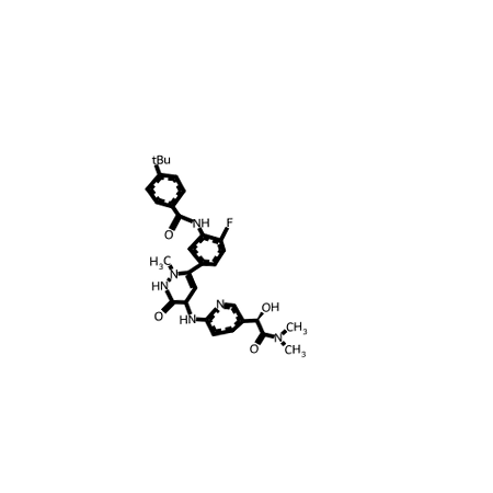 CN(C)C(=O)[C@H](O)c1ccc(NC2C=C(c3ccc(F)c(NC(=O)c4ccc(C(C)(C)C)cc4)c3)N(C)NC2=O)nc1